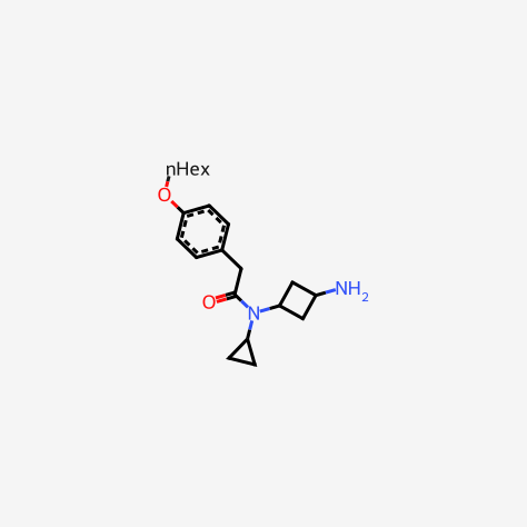 CCCCCCOc1ccc(CC(=O)N(C2CC2)C2CC(N)C2)cc1